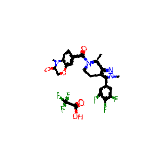 C[C@H]1c2nn(C)c(-c3cc(F)c(F)c(F)c3)c2CCN1C(=O)c1ccc2c(c1)OCC(=O)N2C.O=C(O)C(F)(F)F